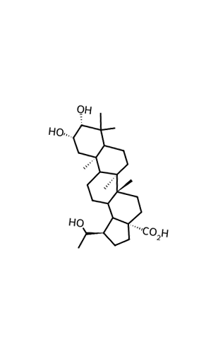 CC(O)[C@@H]1CC[C@]2(C(=O)O)CC[C@]3(C)C(CCC4[C@@]5(C)C[C@H](O)[C@H](O)C(C)(C)C5CC[C@]43C)C12